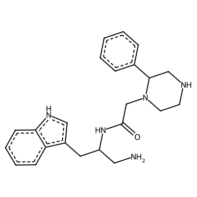 NCC(Cc1c[nH]c2ccccc12)NC(=O)CN1CCNCC1c1ccccc1